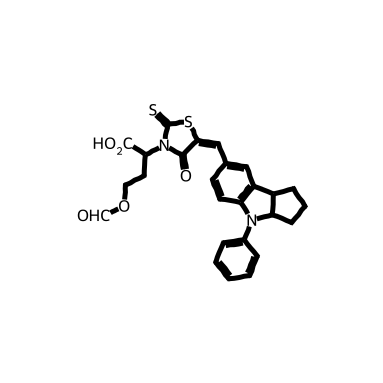 O=COCCC(C(=O)O)N1C(=O)/C(=C\c2ccc3c(c2)C2CCCC2N3c2ccccc2)SC1=S